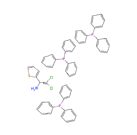 N[CH](c1cccs1)[Ru]([Cl])[Cl].c1ccc(P(c2ccccc2)c2ccccc2)cc1.c1ccc(P(c2ccccc2)c2ccccc2)cc1.c1ccc(P(c2ccccc2)c2ccccc2)cc1